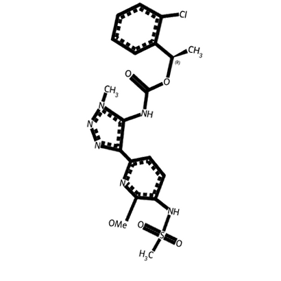 COc1nc(-c2nnn(C)c2NC(=O)O[C@H](C)c2ccccc2Cl)ccc1NS(C)(=O)=O